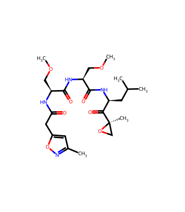 COC[C@H](NC(=O)Cc1cc(C)no1)C(=O)N[C@@H](COC)C(=O)N[C@@H](CC(C)C)C(=O)[C@@]1(C)CO1